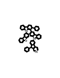 c1ccc(-c2ccc3c4ccccc4n(-c4ccc5sc6ccccc6c5c4)c3c2-c2ccc3c(c2)c2ccccc2n3-c2ccc3c(c2)-c2ccncc2C3c2ccccc2)cc1